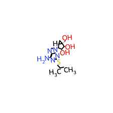 CC[C@H](C)CSc1nc(N)c2ncn([C@H]3C(O)C(O)[C@]4(CO)C[C@H]34)c2n1